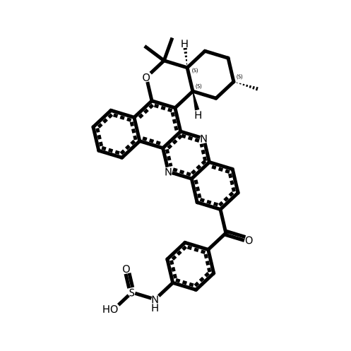 C[C@H]1CC[C@H]2[C@H](C1)c1c(c3ccccc3c3nc4cc(C(=O)c5ccc(NS(=O)O)cc5)ccc4nc13)OC2(C)C